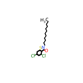 CCCCCCCCCCCCn1sc2cc(Cl)cc(Cl)c2c1=O